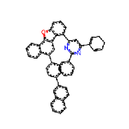 C1=CC(c2cc(-c3cccc4oc5c6ccccc6c(-c6ccc(-c7ccc8ccccc8c7)cc6)cc5c34)nc(-c3ccccc3)n2)=CCC1